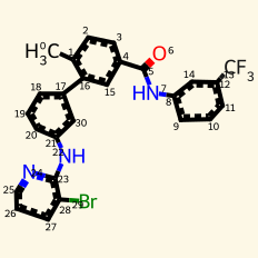 Cc1ccc(C(=O)Nc2cccc(C(F)(F)F)c2)cc1-c1cccc(Nc2ncccc2Br)c1